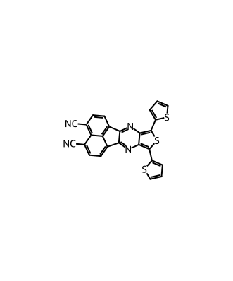 N#Cc1ccc2c3c(ccc(C#N)c13)-c1nc3c(-c4cccs4)sc(-c4cccs4)c3nc1-2